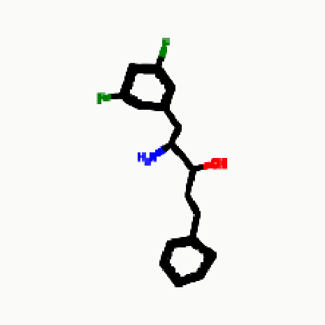 N[C@@H](Cc1cc(F)cc(F)c1)C(O)CCc1ccccc1